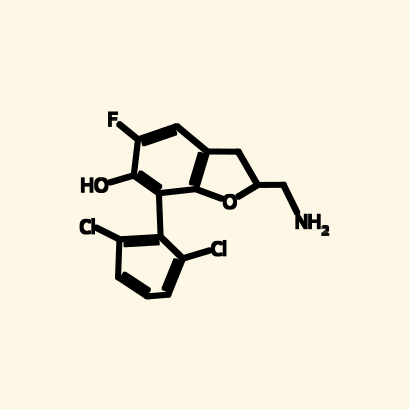 NCC1Cc2cc(F)c(O)c(-c3c(Cl)cccc3Cl)c2O1